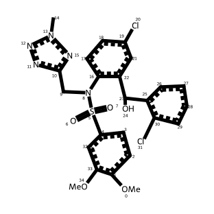 COc1ccc(S(=O)(=O)N(Cc2nnn(C)n2)c2ccc(Cl)cc2C(O)c2ccccc2Cl)cc1OC